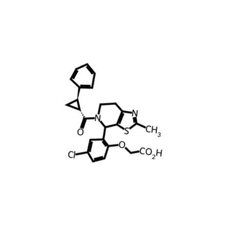 Cc1nc2c(s1)C(c1cc(Cl)ccc1OCC(=O)O)N(C(=O)[C@@H]1C[C@H]1c1ccccc1)CC2